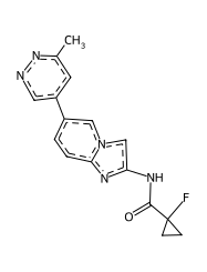 Cc1cc(-c2ccc3nc(NC(=O)C4(F)CC4)cn3c2)cnn1